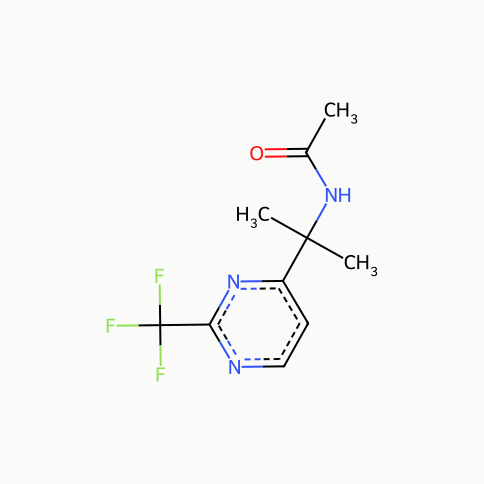 CC(=O)NC(C)(C)c1ccnc(C(F)(F)F)n1